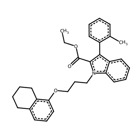 CCOC(=O)c1c(-c2ccccc2C)c2ccccc2n1CCCOc1cccc2c1CCCC2